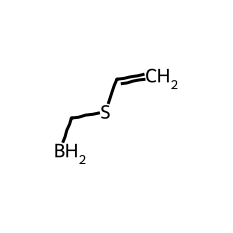 BCSC=C